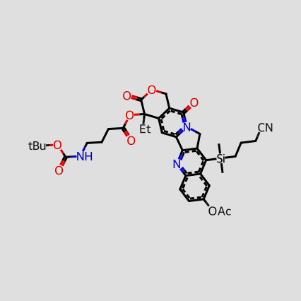 CCC1(OC(=O)CCCNC(=O)OC(C)(C)C)C(=O)OCc2c1cc1n(c2=O)Cc2c-1nc1ccc(OC(C)=O)cc1c2[Si](C)(C)CCCC#N